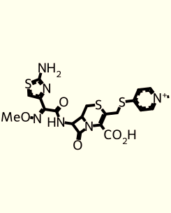 CON=C(C(=O)NC1C(=O)N2C(C(=O)O)=C(CSc3cc[n+](C)cc3)SCC12)c1csc(N)n1